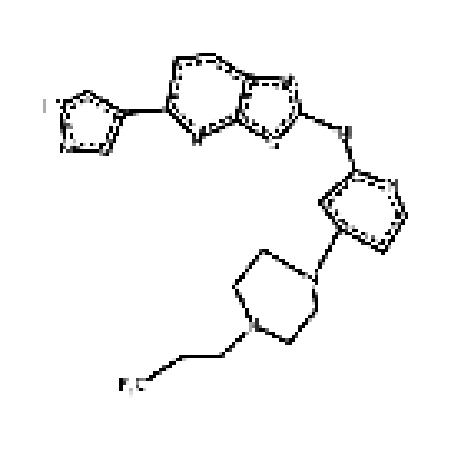 FC(F)(F)CCN1CCN(c2ccnc(Nc3nc4ccc(-c5cn[nH]c5)nc4s3)c2)CC1